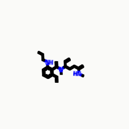 C=Cc1cccc(NCCC)c1C(=C)N(C)C(C=C)CCC(=C)NC